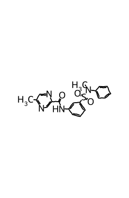 Cc1cnc(C(=O)Nc2cccc(S(=O)(=O)N(C)c3ccccc3)c2)cn1